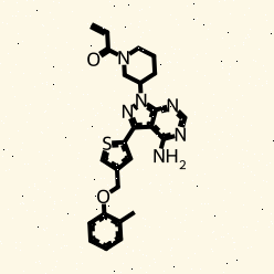 C=CC(=O)N1CCCC(n2nc(-c3cc(COc4ccccc4C)cs3)c3c(N)ncnc32)C1